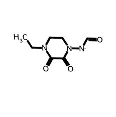 CCN1CCN([N]C=O)C(=O)C1=O